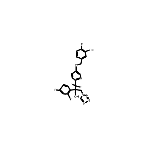 N#Cc1cc(COc2ccc(C(F)(F)C(O)(Cn3cnnn3)c3ccc(F)cc3F)nc2)ccc1F